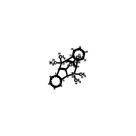 CC1=C2c3ccccc3[CH]1[Zr]([CH3])([CH3])[CH]1C(C)=C(c3ccccc31)C2(C)C